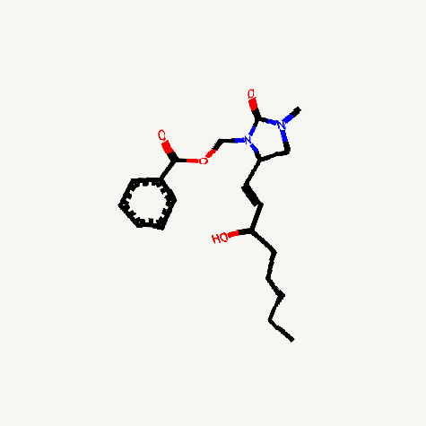 CCCCCC(O)C=CC1CN(C)C(=O)N1COC(=O)c1ccccc1